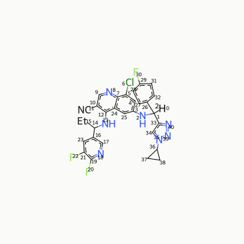 [2H]C(Nc1cc(Cl)c2ncc(C#N)c(NC(CC)c3cnc(F)c(F)c3)c2c1)(c1ccc(F)cc1)c1cn(C2CC2)nn1